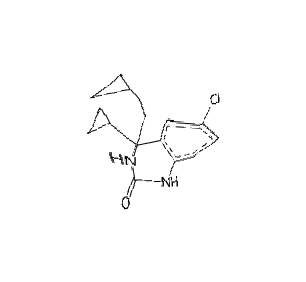 O=C1Nc2ccc(Cl)cc2C(CC2CC2)(C2CC2)N1